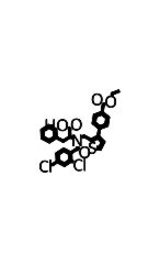 CCOC(=O)c1ccc(-c2ccsc2CN(C(=O)c2ccc(Cl)cc2Cl)C(Cc2ccccc2)C(=O)O)cc1